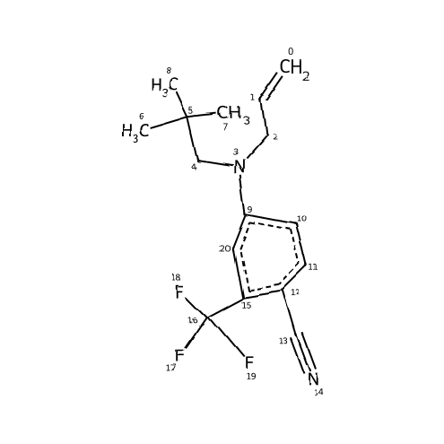 C=CCN(CC(C)(C)C)c1ccc(C#N)c(C(F)(F)F)c1